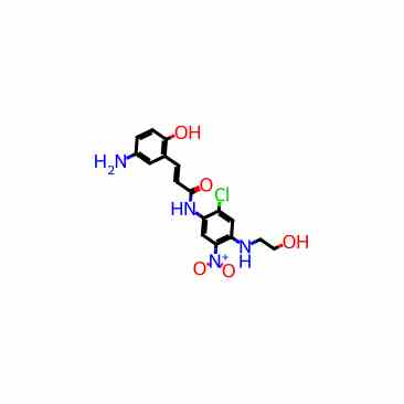 Nc1ccc(O)c(C=CC(=O)Nc2cc([N+](=O)[O-])c(NCCO)cc2Cl)c1